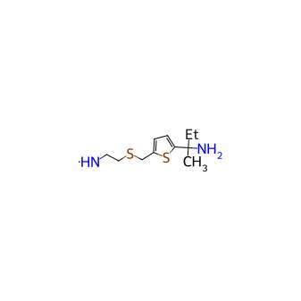 CCC(C)(N)c1ccc(CSCC[NH])s1